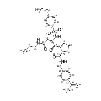 COc1ccc(S(=O)(=O)N[C@H](CC(=O)NCCN)C(=O)N2CCC[C@H]2C(=O)NCc2ccc(C(=N)N)cc2)cc1